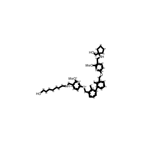 COc1nc(OCc2cccc(-c3cccc(COc4ccc(CNC5(CO)CCCC5)c(OC)n4)c3C)c2C)ccc1CNCCCCCCCO